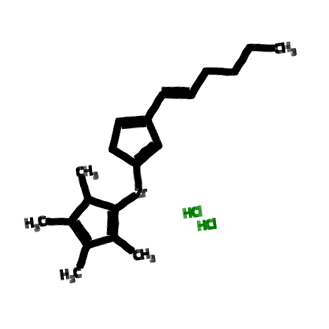 CCCCC=CC1=CC[C]([Zr][C]2=C(C)C(C)=C(C)C2C)=C1.Cl.Cl